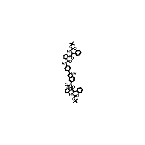 CC(C)(C)OC(=O)N[C@@H](C(=O)C1CCCN1C(=O)Nc1ccc2[nH]c(-c3ccc(NC(=O)[C@@H]4CCCN4C(=O)[C@H](NC(=O)OC(C)(C)C)c4ccccc4)cc3)cc2c1)c1ccccc1